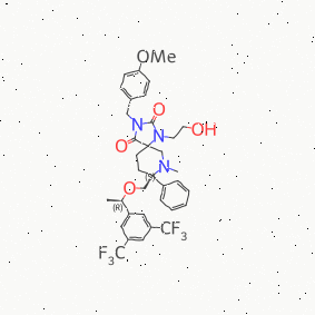 COc1ccc(CN2C(=O)N(CCO)C3(CC[C@@](CO[C@H](C)c4cc(C(F)(F)F)cc(C(F)(F)F)c4)(c4ccccc4)N(C)C3)C2=O)cc1